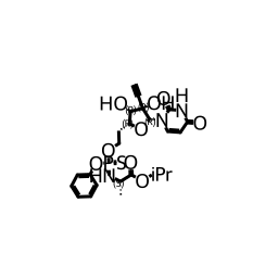 C#C[C@@]1(O)[C@H](O)[C@@H](CCOP(=S)(N[C@@H](C)C(=O)OC(C)C)Oc2ccccc2)O[C@H]1n1ccc(=O)[nH]c1=O